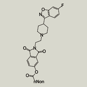 CCCCCCCCCC(=O)Oc1ccc2c(c1)C(=O)N(CCN1CCC(c3noc4cc(F)ccc34)CC1)C2=O